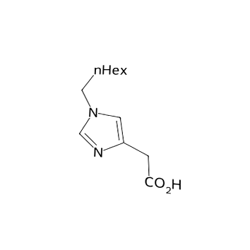 CCCCCCCn1cnc(CC(=O)O)c1